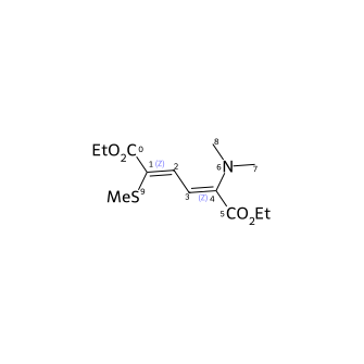 CCOC(=O)/C(=C/C=C(/C(=O)OCC)N(C)C)SC